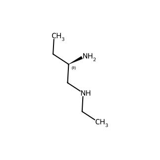 CCNC[C@H](N)CC